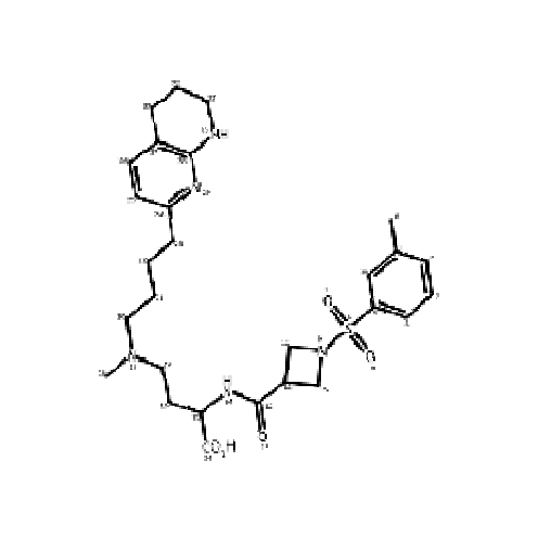 Cc1cccc(S(=O)(=O)N2CC(C(=O)NC(CCN(C)CCCCc3ccc4c(n3)NCCC4)C(=O)O)C2)c1